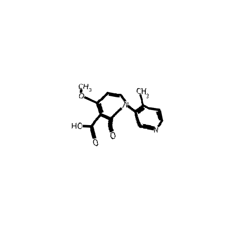 COc1ccn(-c2cnccc2C)c(=O)c1C(=O)O